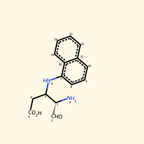 N[C@H](C=O)C(CC(=O)O)Nc1cccc2ccccc12